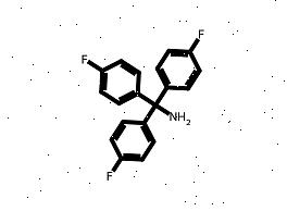 NC(c1ccc(F)cc1)(c1ccc(F)cc1)c1ccc(F)cc1